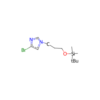 CC(C)(C)[Si](C)(C)OCCCn1cnc(Br)c1